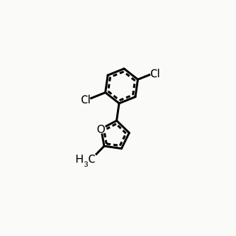 Cc1ccc(-c2cc(Cl)ccc2Cl)o1